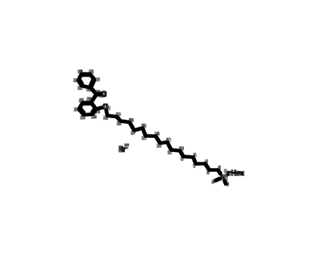 CCCCCC[N+](C)(C)CCCCCCCCCCCCCCCCCCOc1ccccc1C(=O)c1ccccc1.[Br-]